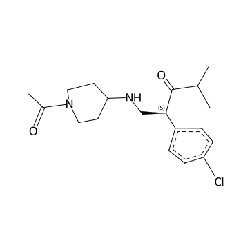 CC(=O)N1CCC(NC[C@@H](C(=O)C(C)C)c2ccc(Cl)cc2)CC1